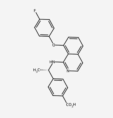 C[C@H](Nc1nccc2cccc(Oc3ccc(F)cc3)c12)c1ccc(C(=O)O)cc1